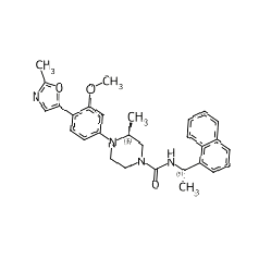 COc1cc(N2CCN(C(=O)N[C@@H](C)c3cccc4ccccc34)C[C@@H]2C)ccc1-c1cnc(C)o1